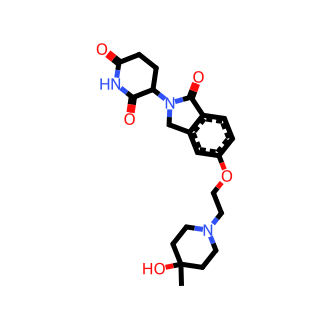 CC1(O)CCN(CCOc2ccc3c(c2)CN(C2CCC(=O)NC2=O)C3=O)CC1